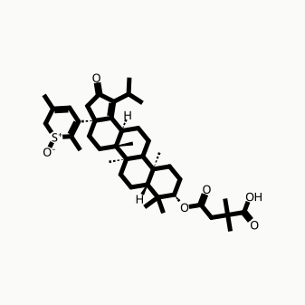 CC1=CC([C@@]23CC[C@]4(C)[C@H](CCC5[C@@]6(C)CC[C@H](OC(=O)CC(C)(C)C(=O)O)C(C)(C)[C@@H]6CC[C@]54C)C2=C(C(C)C)C(=O)C3)=C(C)[S+]([O-])C1